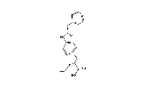 CCOC(Cc1ccc2[nH]c(Cc3ccccc3)cc2c1)C(=O)O